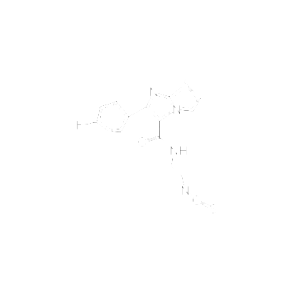 O=C(NCCN=C=S)c1c(-c2ccc(F)cc2)nc2sccn12